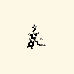 CC(=O)NCCn1c2nc(=O)n(CC[N+](C)(C)C)c(=O)c-2nc2cc(C)c(C)cc21.[Br-]